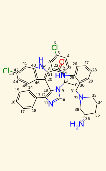 CC(c1ccc(Cl)cc1)n1cnc(-c2ccccc2)c1-c1c(C(=O)Nc2ccccc2CN2CCC[C@H](N)C2)[nH]c2cc(Cl)ccc12